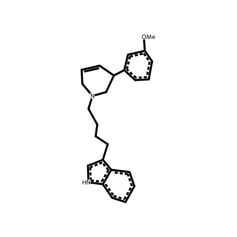 COc1cccc(C2C=CCN(CCCCc3c[nH]c4ccccc34)C2)c1